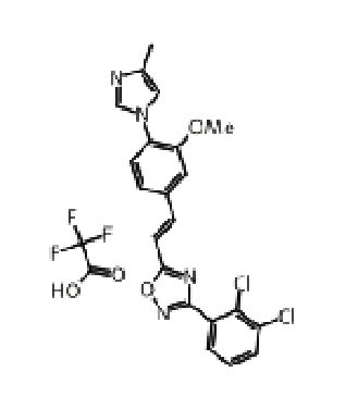 COc1cc(/C=C/c2nc(-c3cccc(Cl)c3Cl)no2)ccc1-n1cnc(C)c1.O=C(O)C(F)(F)F